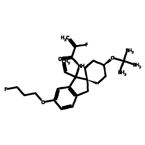 BC(B)(B)O[C@H]1CC[C@]2(CC1)Cc1ccc(OCCCF)cc1C2(C=C)NC(=O)C(=C)F